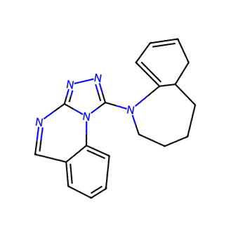 C1=CCC2CCCCN(c3nnc4ncc5ccccc5n34)C2=C1